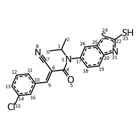 CC(C)N(C(=O)C(C#N)=Cc1cccc(Cl)c1)c1ccc2nc(S)sc2c1